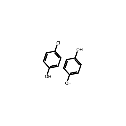 Oc1ccc(Cl)cc1.Oc1ccc(O)cc1